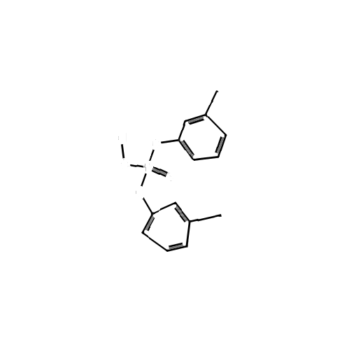 Cc1cccc(OP(=S)(OCl)Oc2cccc(C)c2)c1